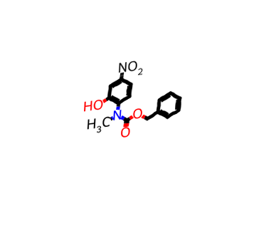 CN(C(=O)OCc1ccccc1)c1ccc([N+](=O)[O-])cc1O